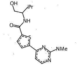 CNc1nccc(-c2ccc(C(=O)NC(CO)C(C)C)s2)n1